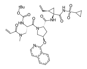 C=CC(=O)N(C)C[C@H](NC(=O)OC(C)(C)C)C(=O)N1C[C@H](Oc2nccc3ccccc23)C[C@H]1C(=O)N[C@]1(C(=O)NS(=O)(=O)C2CC2)C[C@@H]1C=C